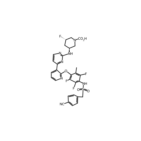 Cc1c(F)c(NS(=O)(=O)Cc2ccc(C#N)cc2)c(F)c(F)c1Oc1ncccc1-c1ccnc(N[C@H]2C[C@H](F)CN(C(=O)O)C2)n1